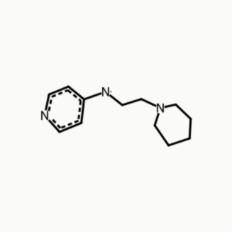 c1cc([N]CCN2CCCCC2)ccn1